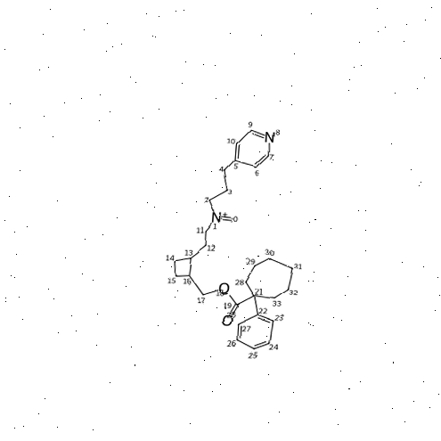 C=[N+](CCCc1ccncc1)CCC1CCC1COC(=O)C1(c2ccccc2)CCCCCC1